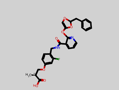 C[C@@H](COc1ccc(CNC(=O)c2cccnc2OC2=COC(Cc3ccccc3)O2)c(F)c1)C(=O)O